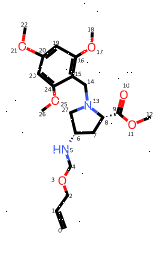 C=CCOCN[C@H]1C[C@@H](C(=O)OC)N(Cc2c(OC)cc(OC)cc2OC)C1